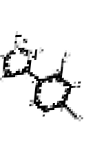 Cc1ccc(-c2cc[nH]n2)c(F)c1